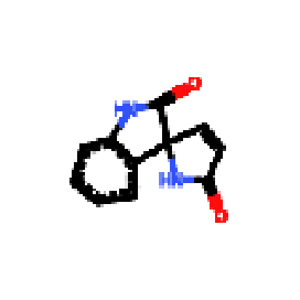 O=C1C=CC2(N1)C(=O)Nc1ccccc12